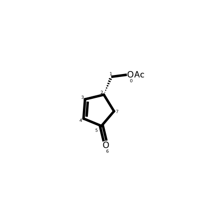 CC(=O)OC[C@H]1C=CC(=O)C1